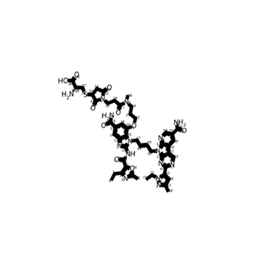 CCc1nc(C)oc1C(=O)Nc1nc2cc(C(N)=O)cc(OCCCN(C)C(=O)CCN3C(=O)CC(SC[C@H](N)C(=O)O)C3=O)c2n1C/C=C/Cn1c2ncc(C(N)=O)cc2c2cnc(-c3cc(C)nn3CC)nc21